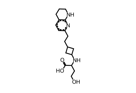 O=C(O)C(CCO)NC1CC(CCc2ccc3c(n2)NCCC3)C1